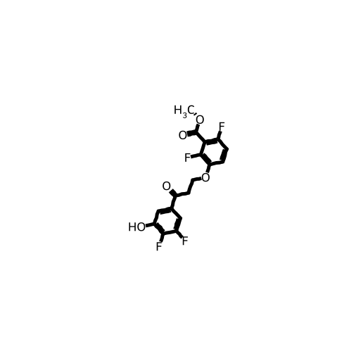 COC(=O)c1c(F)ccc(OCCC(=O)c2cc(O)c(F)c(F)c2)c1F